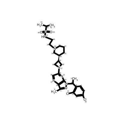 Cc1nn(C(C)c2ccc(Cl)cc2Cl)c2nc(N3CC([C@@H]4CCCN(CCNS(=O)(=O)C(C)C)C4)C3)cnc12